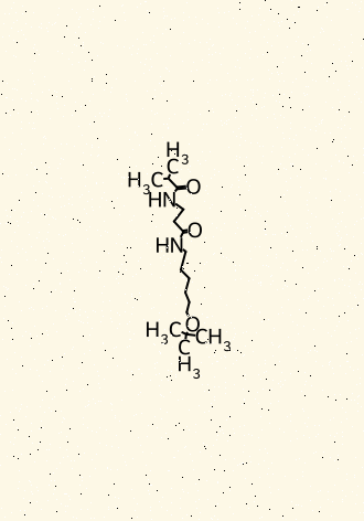 CC(C)C(=O)NCCC(=O)NCCCCCCOC(C)(C)C